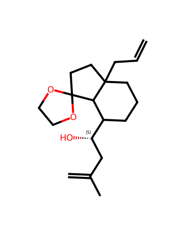 C=CCC12CCCC([C@@H](O)CC(=C)C)C1C1(CC2)OCCO1